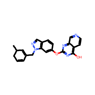 CC1C=C(Cn2ncc3ccc(Oc4nc(O)c5ccncc5n4)cc32)C=CC1